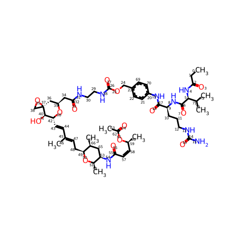 CCC(=O)N[C@H](C(=O)N[C@@H](CCCNC(N)=O)C(=O)Nc1ccc(COC(=O)NCCNC(=O)C[C@@H]2C[C@@]3(CO3)[C@H](O)[C@@H](/C=C/C(C)=C/C[C@@H]3O[C@H](C)[C@H](NC(=O)/C=C\[C@H](C)OC(C)=O)C[C@@H]3C)O2)cc1)C(C)C